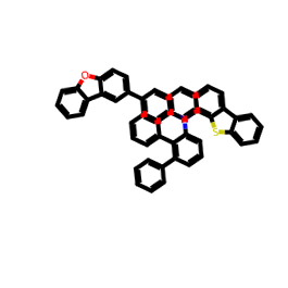 c1ccc(-c2ccccc2-c2c(-c3ccccc3)cccc2N(c2ccc(-c3ccc4oc5ccccc5c4c3)cc2)c2cccc3c2sc2ccccc23)cc1